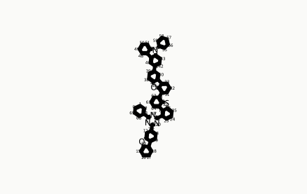 c1ccc(-c2nc(-c3ccc4c(c3)oc3ccccc34)nc(-c3cccc4sc5c(-c6cccc7c6oc6ccc(-c8ccc9c(c8)c8ccccc8n9-c8ccccc8)cc67)cccc5c34)n2)cc1